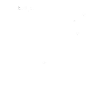 CCOC(=O)c1ccc(S(=O)[O-])cc1.c1ccc([S+](c2ccccc2)c2ccccc2)cc1